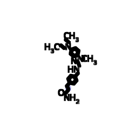 CCCN(CCC)c1ccc2c(c1)nc(CNCc1ccc(/C=C/C(N)=O)cc1)n2C